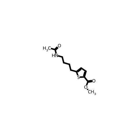 COC(=O)c1ccc(CCCCNC(C)=O)s1